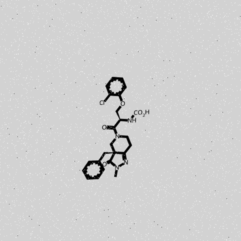 CN1N=C2CCN(C(=O)[C@@H](COc3ccccc3Cl)NC(=O)O)C[C@@]2(Cc2ccccc2)C1=O